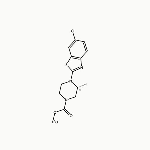 C[C@@H]1CN(C(=O)OC(C)(C)C)CCN1c1nc2ccc(Cl)cc2s1